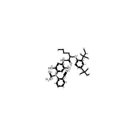 CCCCC(Oc1ccc(C(C)(C)CC)cc1C(C)(C)CC)C(=O)Nc1cc(O)c(N(C(N)=O)c2ccccc2C#N)cc1Cl